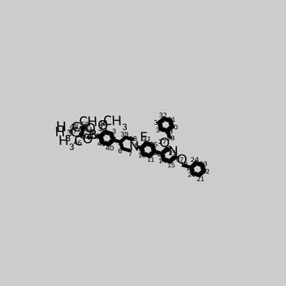 COc1cc(C2CCN(c3ccc(-c4ccc(OCc5ccccc5)nc4OCc4ccccc4)cc3F)CC2)ccc1B1OC(C)(C)C(C)(C)O1